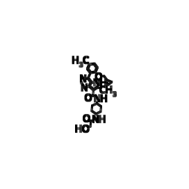 Cc1ccc(OCC2CC2)c(-c2ncnc3c(C(=O)NC4CCC(NC(=O)CO)CC4)c(C)[nH]c23)c1